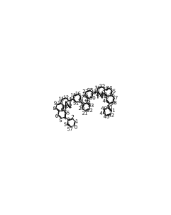 c1ccc(-c2ccc3ccc4ccc(-c5cccc(-c6ccccc6-c6cccc(-c7ccc8ccc9ccc(-c%10ccccc%10)cc9c8n7)c6)c5)nc4c3c2)cc1